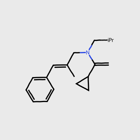 C=C(C1CC1)N(C/C(C)=C/c1ccccc1)CC(C)C